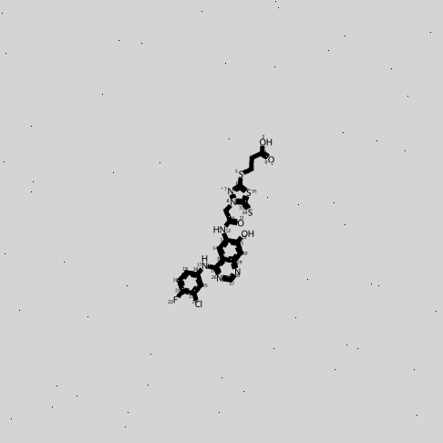 O=C(O)CCSc1nn(CC(=O)Nc2cc3c(Nc4ccc(F)c(Cl)c4)ncnc3cc2O)c(=S)s1